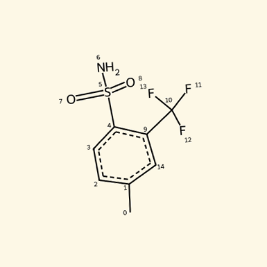 Cc1ccc(S(N)(=O)=O)c(C(F)(F)F)c1